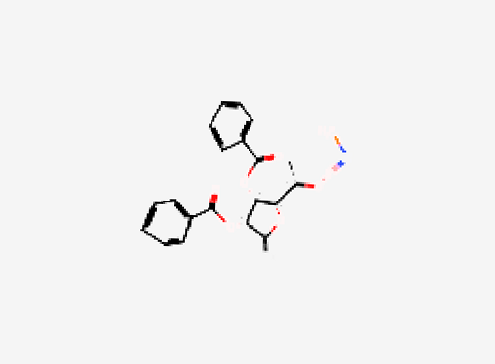 CC(=O)OC1O[C@H]([C@@H](C)OB=NP)[C@@H](OC(=O)c2ccccc2)[C@H]1OC(=O)c1ccccc1